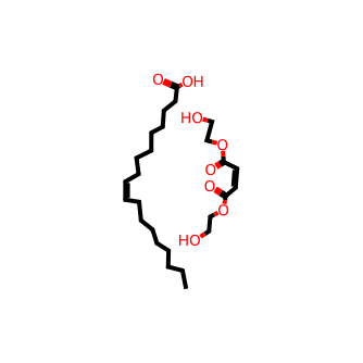 CCCCCCCC/C=C\CCCCCCCC(=O)O.O=C(/C=C\C(=O)OCCO)OCCO